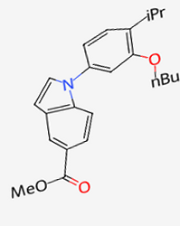 CCCCOc1cc(-n2ccc3cc(C(=O)OC)ccc32)ccc1C(C)C